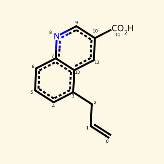 C=CCc1cccc2ncc(C(=O)O)cc12